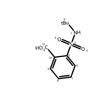 CC(C)(C)NS(=O)(=O)c1ccccc1C(=O)O